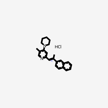 C/C(=C\c1cc(N2CCCCC2)c(C)cn1)c1ccc2ccccc2c1.Cl